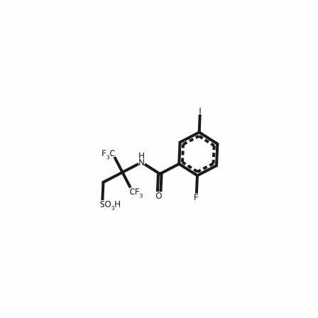 O=C(NC(CS(=O)(=O)O)(C(F)(F)F)C(F)(F)F)c1cc(I)ccc1F